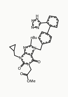 CCCCc1nc2c(c(=O)n(CC(=O)OC)c(=O)n2CC2CC2)n1Cc1ccc(-c2ccccc2-c2nnn[nH]2)cc1